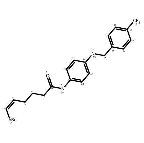 CCCC/C=C\CCCC(=O)Nc1ccc(NCc2ccc(C(F)(F)F)cc2)cc1